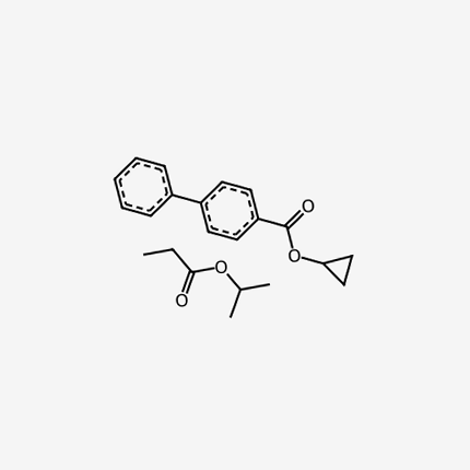 CCC(=O)OC(C)C.O=C(OC1CC1)c1ccc(-c2ccccc2)cc1